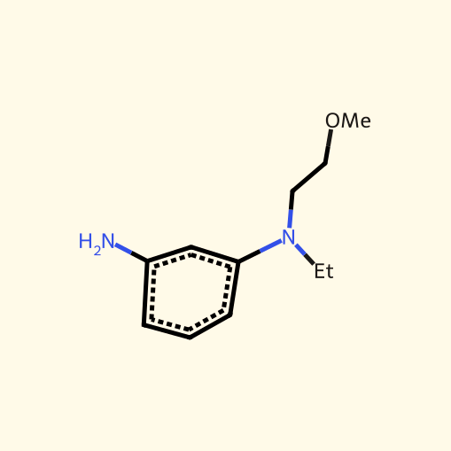 CCN(CCOC)c1cccc(N)c1